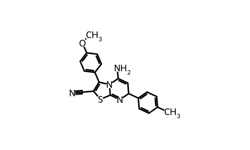 COc1ccc(C2=C(C#N)SC3=NC(c4ccc(C)cc4)C=C(N)N32)cc1